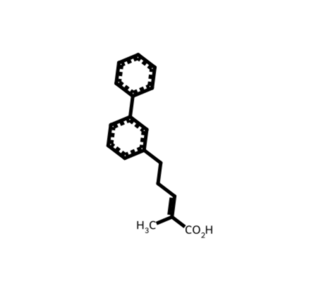 CC(=CCCc1cccc(-c2ccccc2)c1)C(=O)O